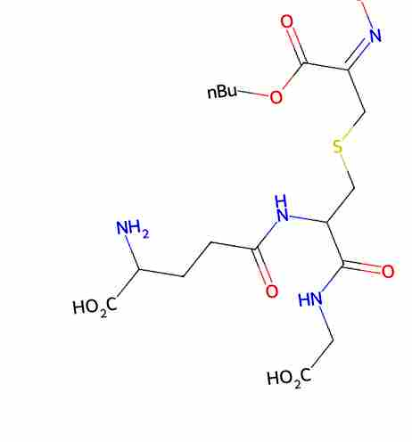 CCCCOC(=O)/C(CSCC(NC(=O)CCC(N)C(=O)O)C(=O)NCC(=O)O)=N\O